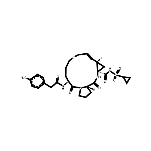 Cc1ccc(CC(=O)N[C@H]2CCCCC/C=C\[C@@H]3C[C@@]3(C(=O)NS(=O)(=O)C3CC3)NC(=O)[C@@H]3CCCN3C2=O)cc1